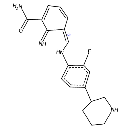 N=C1C(C(N)=O)=CC=C/C1=C/Nc1ccc(C2CCCNC2)cc1F